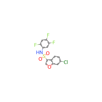 O=S(=O)(Nc1cc(F)c(F)cc1F)c1coc2cc(Cl)ccc12